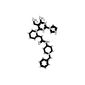 CCc1c(C)nc(-n2ccnc2)nc1N1CCCCC1CC(=O)NC1CCN(Cc2ccccc2)CC1